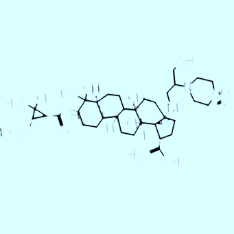 C=C(C)[C@@H]1CC[C@]2(NCC(CO)N3CCS(=O)(=O)CC3)CC[C@]3(C)[C@H](CC[C@@H]4[C@@]5(C)CC[C@H](OC(=O)[C@H]6[C@@H](C(=O)O)C6(C)C)C(C)(C)[C@@H]5CC[C@]43C)[C@@H]12